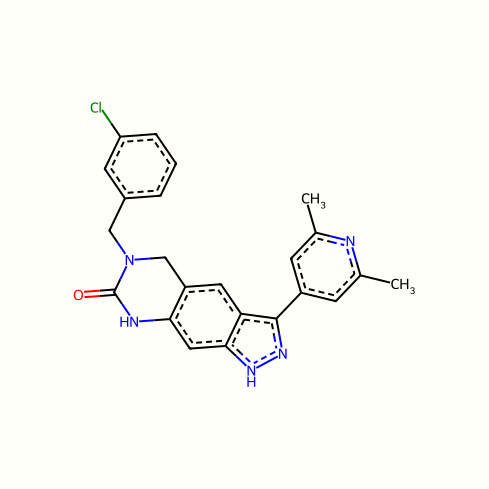 Cc1cc(-c2n[nH]c3cc4c(cc23)CN(Cc2cccc(Cl)c2)C(=O)N4)cc(C)n1